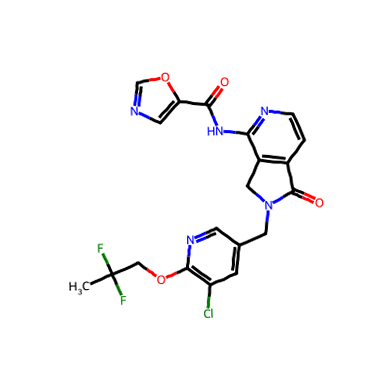 CC(F)(F)COc1ncc(CN2Cc3c(ccnc3NC(=O)c3cnco3)C2=O)cc1Cl